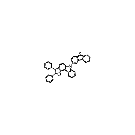 c1ccc(-c2oc3c(ccc4c3c3ccccc3n4-c3ccc4sc5ccccc5c4c3)c2-c2ccccc2)cc1